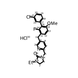 CCN1CCN(Cc2ccc(Cc3ccc(OC)c(-c4cccc(Cl)c4)c3F)cn2)C1=O.Cl